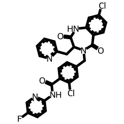 O=C(Nc1ccc(F)cn1)c1ccc(CN2C(=O)c3ccc(Cl)cc3NC(=O)C2Cc2ccccn2)cc1Cl